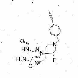 CC#Cc1ccc(CN2CCC(CC#N)(n3cc(C(N)=O)c(NC=O)n3)C(F)C2)cc1